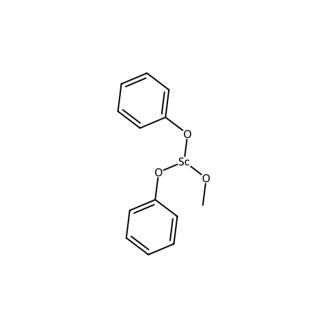 C[O][Sc]([O]c1ccccc1)[O]c1ccccc1